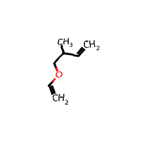 C=COCC(C)C=C